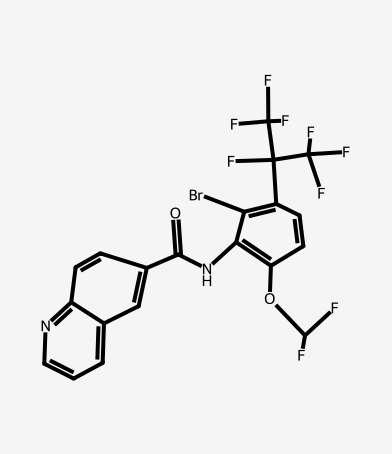 O=C(Nc1c(OC(F)F)ccc(C(F)(C(F)(F)F)C(F)(F)F)c1Br)c1ccc2ncccc2c1